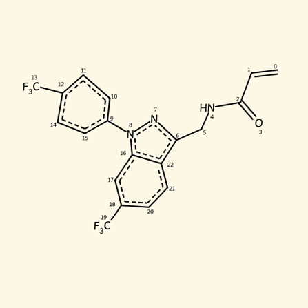 C=CC(=O)NCc1nn(-c2ccc(C(F)(F)F)cc2)c2cc(C(F)(F)F)ccc12